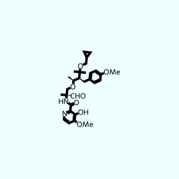 COc1ccc(C[C@@H]([C@H](C)OC[C@@](C)(C=O)NC(=O)c2nccc(OC)c2O)C(C)(C)OCC2CC2)cc1